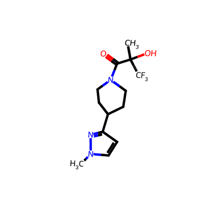 Cn1ccc(C2CCN(C(=O)C(C)(O)C(F)(F)F)CC2)n1